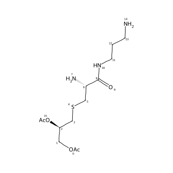 CC(=O)OC[C@H](CSC[C@H](N)C(=O)NCCCN)OC(C)=O